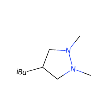 CCC(C)C1CN(C)N(C)C1